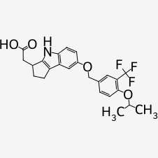 CC(C)Oc1ccc(COc2ccc3[nH]c4c(c3c2)CCC4CC(=O)O)cc1C(F)(F)F